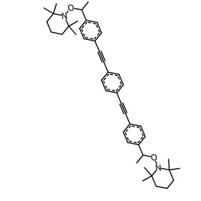 CC(ON1C(C)(C)CCCC1(C)C)c1ccc(C#Cc2ccc(C#Cc3ccc(C(C)ON4C(C)(C)CCCC4(C)C)cc3)cc2)cc1